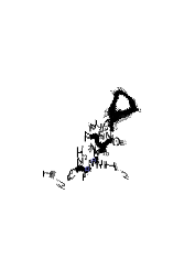 C=C(N)/C(F)=C\N=C(/N)n1cc(C(=O)NCC2(O)CCCCCC2)c(C(F)(F)F)n1